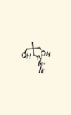 CC(CO)(CO)CN=[N+]=[N-]